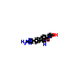 CC(C)C(C)(c1ccc(-c2cnc(N)nc2)cc1)c1c[nH]c2c(C(=O)N3CCC(O)C3)cccc12